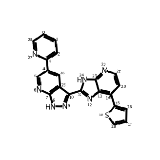 c1ccc(-c2cnc3[nH]nc(-c4nc5c(-c6cccs6)ccnc5[nH]4)c3c2)nc1